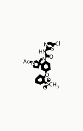 CC(=O)N1CCC2(C1)CN(C(=O)Nc1ncc(Cl)s1)c1ccc(Oc3ccccc3S(C)(=O)=O)cc12